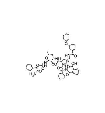 CCCC(NC(=O)C1C[C@@H](CNC(=O)c2cccc(Oc3ccccc3)c2)CN1C(=O)[C@@H](NC(=O)c1ccccc1C(=O)O)C1CCCCC1)C(=O)C(=O)NCC(=O)O[C@H](C(N)=O)c1ccccc1